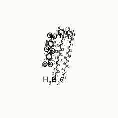 CCCCCCCCCCCCCCCC[n+]1ccccc1.CCCCCCCCCCCCCCCC[n+]1ccccc1.O=C([O-])c1ccc(S(=O)(=O)c2ccc(C(=O)[O-])cc2)cc1